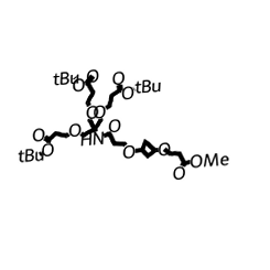 COC(=O)CCOC1CC(OCCC(=O)NC(COCCC(=O)OC(C)(C)C)(COCCC(=O)OC(C)(C)C)COCCC(=O)OC(C)(C)C)C1